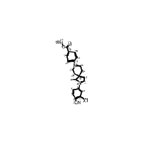 CC1N(c2ccc(C#N)c(Cl)c2)CCC12CCN(c1ccc(C(=O)OC(C)(C)C)cc1)CC2